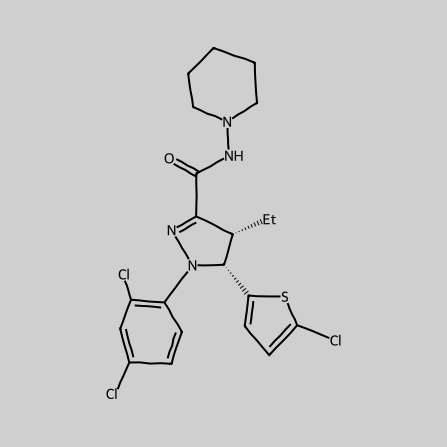 CC[C@H]1C(C(=O)NN2CCCCC2)=NN(c2ccc(Cl)cc2Cl)[C@H]1c1ccc(Cl)s1